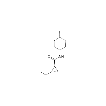 CCC1C[C@@H]1C(=O)NC1CCC(C)CC1